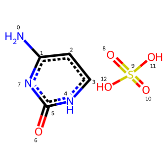 Nc1cc[nH]c(=O)n1.O=S(=O)(O)O